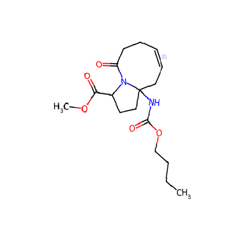 CCCCOC(=O)NC12C/C=C\CCC(=O)N1C(C(=O)OC)CC2